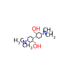 CN(C)c1ccc(-c2ccc(N(C)C)cc2CO)c(CO)c1